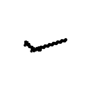 CCCCCCCCCCCCCOCCN(C)CCCN(C)C